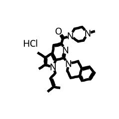 CC(C)=CCn1c(C)c(C)c2cc(C(=O)N3CCN(C)CC3)nc(N3CCc4ccccc4C3)c21.Cl